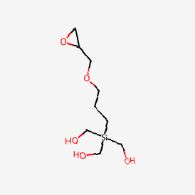 OC[Si](CO)(CO)CCCOCC1CO1